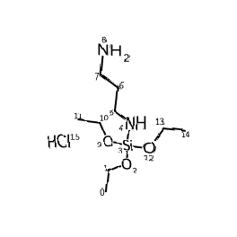 CCO[Si](NCCCN)(OCC)OCC.Cl